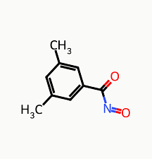 Cc1cc(C)cc(C(=O)N=O)c1